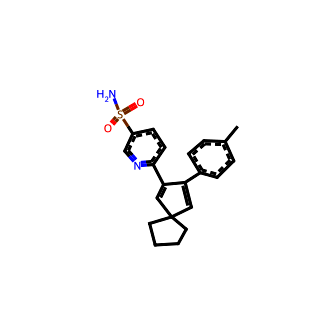 Cc1ccc(C2=CC3(C=C2c2ccc(S(N)(=O)=O)cn2)CCCC3)cc1